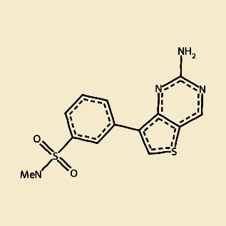 CNS(=O)(=O)c1cccc(-c2csc3cnc(N)nc23)c1